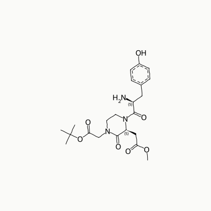 COC(=O)C[C@H]1C(=O)N(CC(=O)OC(C)(C)C)CCN1C(=O)[C@@H](N)Cc1ccc(O)cc1